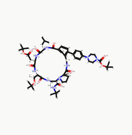 CC(C)C[C@@H]1NC(=O)c2ccc(-c3ccc(N4CCN(C(=O)OC(C)(C)C)CC4)cc3)c(c2)CNC(=O)[C@@H]2CCCN2[C@H](C(=O)NC(C)(C)C)[C@H](C)NC(=O)[C@H]([C@@H](C)OC(C)(C)C)NC(=O)[C@H](CC(=O)OC(C)(C)C)NC1=O